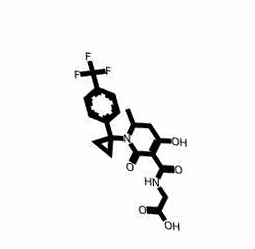 CC1CC(O)=C(C(=O)NCC(=O)O)C(=O)N1C1(c2ccc(C(F)(F)F)cc2)CC1